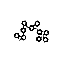 c1ccc([Si](c2ccccc2)(c2ccccc2)c2ccc(-n3c4ccccc4c4cc(-n5c6ccccc6c6ccc(-c7cccc8sc9ccccc9c78)cc65)ccc43)cc2)cc1